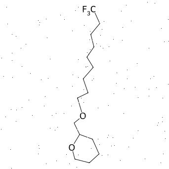 FC(F)(F)CCCCCCCCOCC1CCCCO1